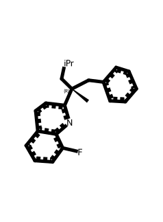 CC(C)C[C@](C)(Cc1ccccc1)c1ccc2cccc(F)c2n1